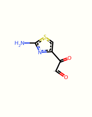 Nc1nc(C(=O)[C]=O)cs1